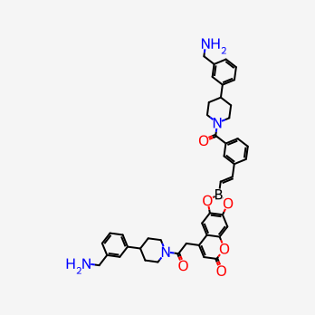 NCc1cccc(C2CCN(C(=O)Cc3cc(=O)oc4cc5c(cc34)OB(C=Cc3cccc(C(=O)N4CCC(c6cccc(CN)c6)CC4)c3)O5)CC2)c1